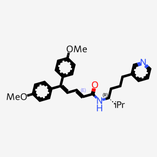 COc1ccc(C(=C/C=C/C(=O)N[C@H](CCCc2cccnc2)C(C)C)c2ccc(OC)cc2)cc1